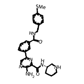 CSc1ccc(CNC(=O)c2cccc(-c3cnc(N)c(C(=O)N[C@H]4CCCNC4)n3)c2)cc1